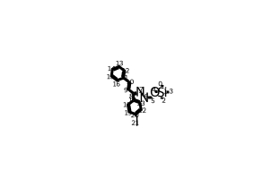 C[Si](C)(C)OCn1nc(C=Cc2ccccc2)c2ccc(I)cc21